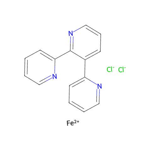 [Cl-].[Cl-].[Fe+2].c1ccc(-c2cccnc2-c2ccccn2)nc1